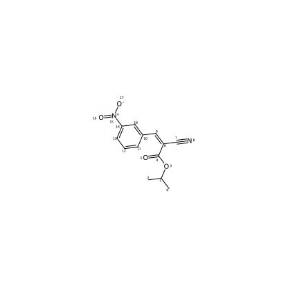 CC(C)OC(=O)C(C#N)=Cc1cccc([N+](=O)[O-])c1